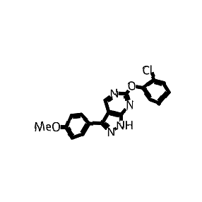 COc1ccc(-c2n[nH]c3nc(Oc4ccccc4Cl)ncc23)cc1